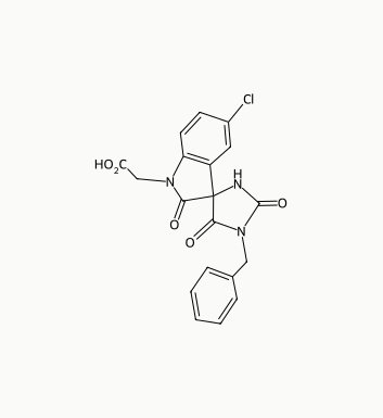 O=C(O)CN1C(=O)C2(NC(=O)N(Cc3ccccc3)C2=O)c2cc(Cl)ccc21